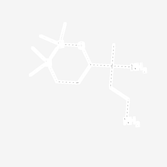 CC(N)(CCN)C1CC[Si](C)(C)[Si](C)(C)O1